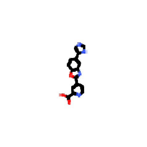 O=C(O)c1cc(-c2nc3cc(-c4cnc[nH]4)ccc3o2)ccn1